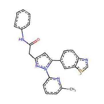 Cc1cccc(-n2nc(CC(=O)Nc3ccccc3)cc2-c2ccc3ncsc3c2)n1